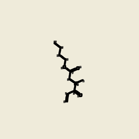 C=CC(=O)N(C)CC(=O)OCCCC